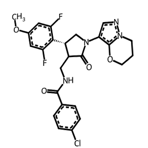 COc1cc(F)c([C@@H]2CN(c3cnn4c3OCCC4)C(=O)C2CNC(=O)c2ccc(Cl)cc2)c(F)c1